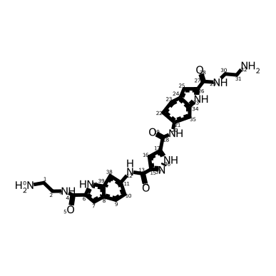 NCCNC(=O)c1cc2ccc(NC(=O)c3cc(C(=O)Nc4ccc5cc(C(=O)NCCN)[nH]c5c4)[nH]n3)cc2[nH]1